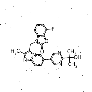 Cc1nc2ccc(-c3cnc(C(C)(C)O)nc3)cn2c1Cn1c(=O)oc2c(F)cccc21